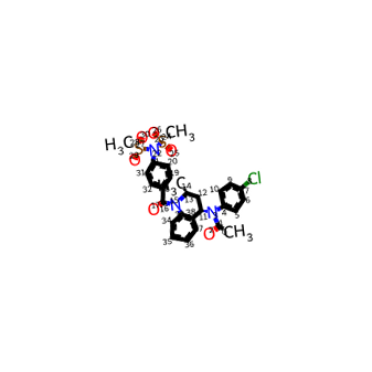 CC(=O)N(c1ccc(Cl)cc1)[C@@H]1C[C@H](C)N(C(=O)c2ccc(N(S(C)(=O)=O)S(C)(=O)=O)cc2)c2ccccc21